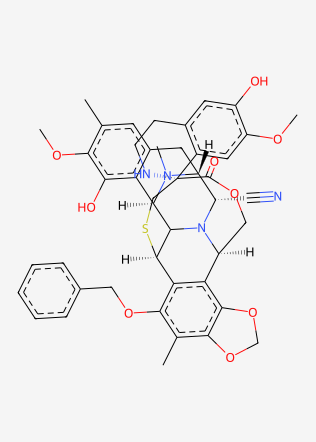 COc1cc2c(cc1O)CCN[C@]21CS[C@@H]2c3c(OCc4ccccc4)c(C)c4c(c3[C@H](COC1=O)N1C2[C@H]2c3c(cc(C)c(OC)c3O)C[C@H]([C@@H]1C#N)N2C)OCO4